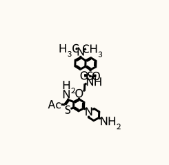 CC(=O)c1sc2cc(N3CCC(N)CC3)cc(OCCNS(=O)(=O)c3cccc4c(N(C)C)cccc34)c2c1N